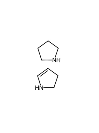 C1=CNCC1.C1CCNC1